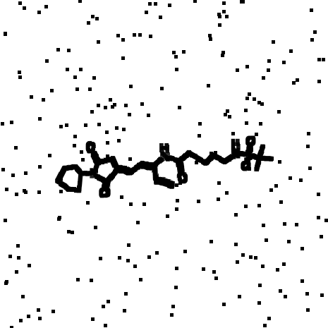 C=C/C(=C\C=C1/CC(=O)N(C2CCCCC2)C1=O)NC(=O)CCCCNS(=O)(=O)C(C)(C)C